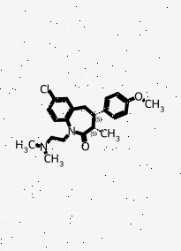 COc1ccc([C@H]2Cc3cc(Cl)ccc3N(CCN(C)C)C(=O)[C@H]2C)cc1